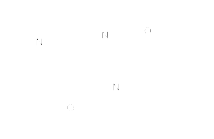 COc1cnc(OC)c(C#N)n1